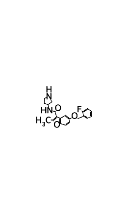 Cc1oc2ccc(OCc3ccccc3F)cc2c1C(=O)NC1CCNC1